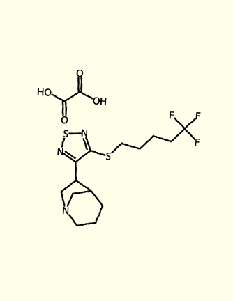 FC(F)(F)CCCCSc1nsnc1C1CN2CCCC1C2.O=C(O)C(=O)O